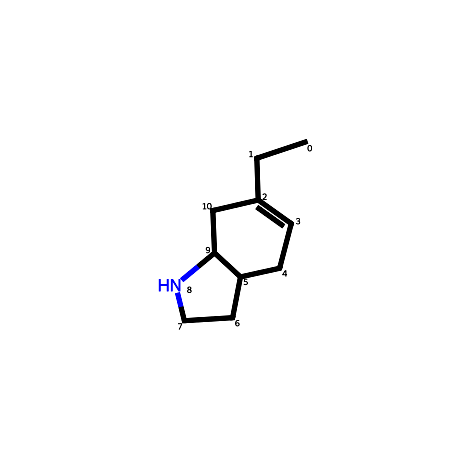 CCC1=CCC2CCNC2C1